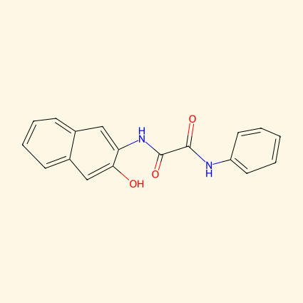 O=C(Nc1ccccc1)C(=O)Nc1cc2ccccc2cc1O